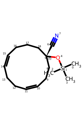 C[Si](C)(C)O[C@]1(C#N)CCC=CCCC=CCCC1